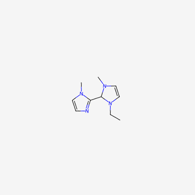 CCN1C=CN(C)C1c1nccn1C